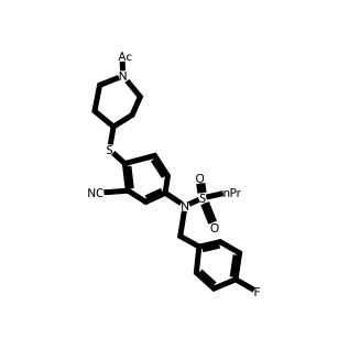 CCCS(=O)(=O)N(Cc1ccc(F)cc1)c1ccc(SC2CCN(C(C)=O)CC2)c(C#N)c1